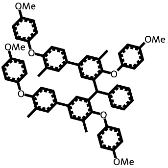 COc1ccc(Oc2ccc(-c3cc(C)c(Oc4ccc(OC)cc4)c(C(c4ccccc4)c4cc(-c5ccc(Oc6ccc(OC)cc6)c(C)c5)cc(C)c4Oc4ccc(OC)cc4)c3)cc2C)cc1